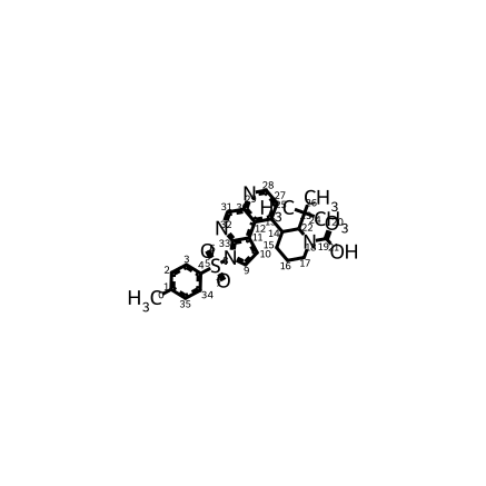 Cc1ccc(S(=O)(=O)n2ccc3c4c(C5CCCN(C(=O)O)C5C(C)(C)C)ccnc4cnc32)cc1